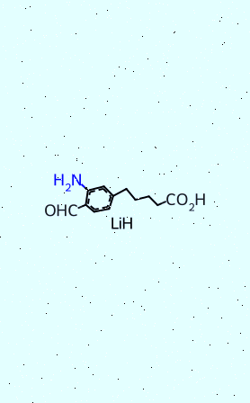 Nc1cc(CCCCC(=O)O)ccc1C=O.[LiH]